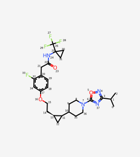 CC(C)c1noc(N2CCC(C3C[C@H]3CCOc3ccc(CC(=O)NC4(C(F)(F)F)CC4)c(F)c3)CC2)n1